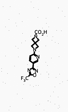 O=C(O)N1CC2(C1)CN(c1ccc(-c3noc(C(F)(F)F)n3)cn1)C2